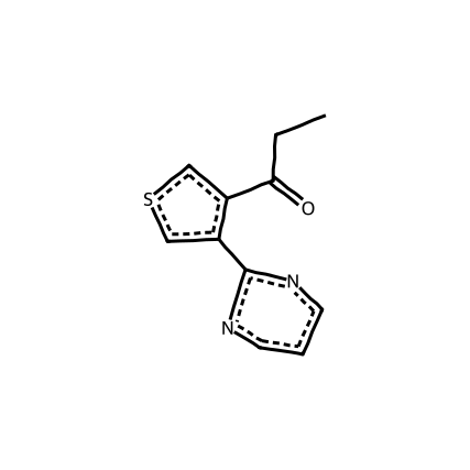 CCC(=O)c1cscc1-c1ncccn1